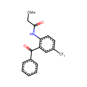 COCC(=O)Nc1ccc(C(F)(F)F)cc1C(=O)c1ccccc1